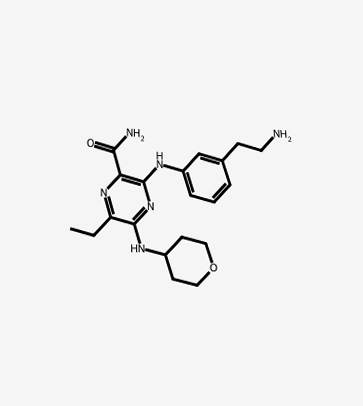 CCc1nc(C(N)=O)c(Nc2cccc(CCN)c2)nc1NC1CCOCC1